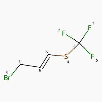 FC(F)(F)SC=CCBr